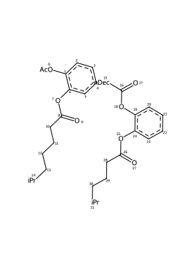 CC(=O)Oc1ccccc1OC(=O)CCCCC(C)C.CCCCCCCCCCC(=O)Oc1ccccc1OC(=O)CCCC(C)C